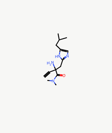 C#CC(N)(Cc1ncc(CC(C)C)[nH]1)C(=O)N(C)C